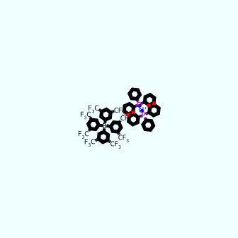 FC(F)(F)c1cc([B-](c2cc(C(F)(F)F)cc(C(F)(F)F)c2)(c2cc(C(F)(F)F)cc(C(F)(F)F)c2)c2cc(C(F)(F)F)cc(C(F)(F)F)c2)cc(C(F)(F)F)c1.c1ccc(P(=[N+]=P(c2ccccc2)(c2ccccc2)c2ccccc2)(c2ccccc2)c2ccccc2)cc1